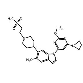 COc1nc(N2CCC2)cc(-n2ncc3cc(C)c(C4CCN(CCS(C)(=O)=O)CC4)cc32)n1